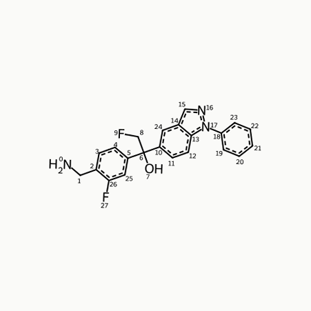 NCc1ccc(C(O)(CF)c2ccc3c(cnn3-c3ccccc3)c2)cc1F